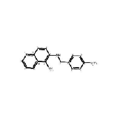 COc1ccc(CNc2ccc3ncccc3c2N)cc1